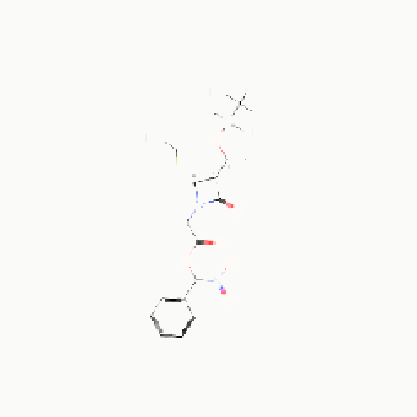 CCS[C@@H]1[C@@H]([C@@H](C)O[Si](C)(C)C(C)(C)C)C(=O)N1CC(=O)OC(c1ccccc1)[N+](=O)[O-]